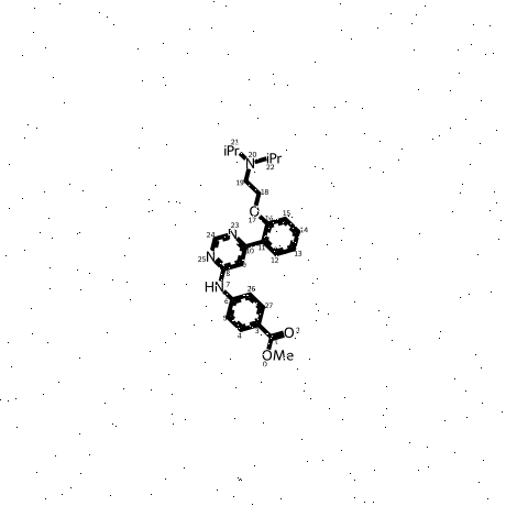 COC(=O)c1ccc(Nc2cc(-c3ccccc3OCCN(C(C)C)C(C)C)ncn2)cc1